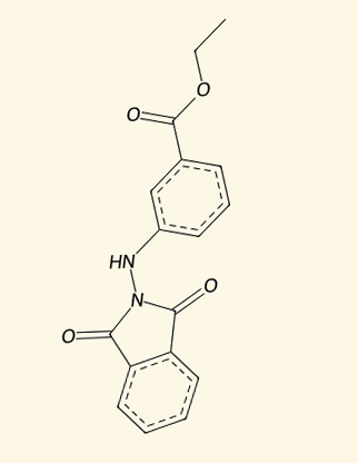 CCOC(=O)c1cccc(NN2C(=O)c3ccccc3C2=O)c1